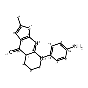 Cc1cc2c(s1)N=C1C(CCCN1c1ccc(N)cc1)C2=O